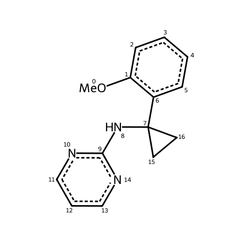 COc1ccccc1C1(Nc2ncccn2)CC1